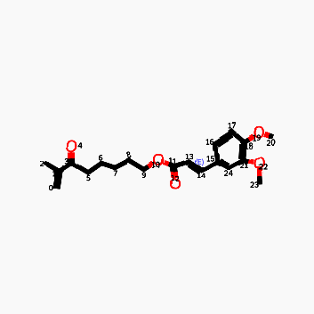 C=C(C)C(=O)CCCCCOC(=O)/C=C/c1ccc(OC)c(OC)c1